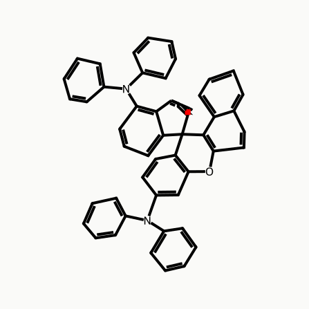 c1ccc(N(c2ccccc2)c2ccc3c(c2)Oc2ccc4ccccc4c2C32c3ccccc3-c3c(N(c4ccccc4)c4ccccc4)cccc32)cc1